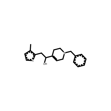 Cc1ccsc1CC(O)C1=CCN(Cc2ccccc2)CC1